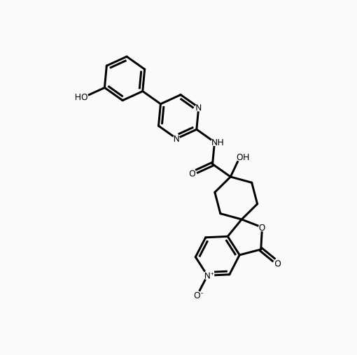 O=C1OC2(CCC(O)(C(=O)Nc3ncc(-c4cccc(O)c4)cn3)CC2)c2cc[n+]([O-])cc21